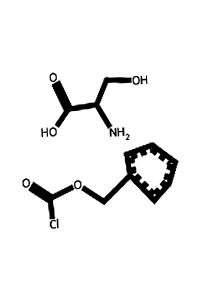 NC(CO)C(=O)O.O=C(Cl)OCc1ccccc1